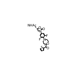 CC(=O)NC[C@H]1CN(c2cc(F)c(N3CCON(C(=O)c4cccs4)CC3)c(F)c2)C(=O)O1